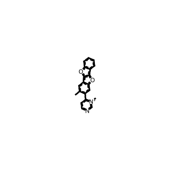 Cc1cc2c(cc1-c1ccnc[n+]1C)oc1c3ccccc3oc21